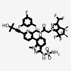 C[C@@H]1c2c(C(F)F)nn(CC(=O)N[C@@H](Cc3cc(F)cc(F)c3)c3nc(C#CC(C)(C)O)ccc3-c3cccc4c(NS(N)(=O)=O)nn(C)c34)c2C(F)(F)[C@@H]1C